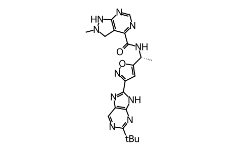 C[C@@H](NC(=O)c1ncnc2c1CN(C)N2)c1cc(-c2nc3cnc(C(C)(C)C)nc3[nH]2)no1